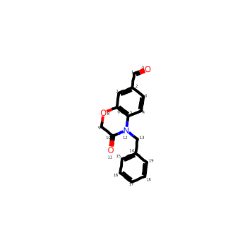 O=Cc1ccc2c(c1)OCC(=O)N2Cc1ccccc1